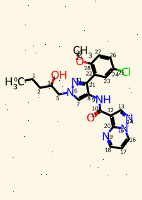 CCCC(O)Cn1cc(NC(=O)c2cnn3cccnc23)c(-c2cc(Cl)ccc2OC)n1